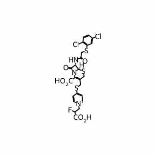 O=C(CSc1cc(Cl)ccc1Cl)N[C@H]1C(=O)N2C(C(=O)O)=C(CSc3cc[n+](CC(F)C(=O)O)cc3)CS[C@H]12